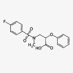 CN(CC(Oc1ccccc1)C(=O)O)S(=O)(=O)c1ccc(F)cc1